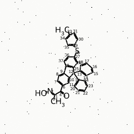 CC(=NO)C(=O)c1ccc2c(c1)C(c1ccccc1)(c1ccccc1)c1cc(Sc3ccc(C)cc3)ccc1-2